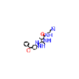 Cc1[nH]c(C(=O)NCCCN(C)C)c(C)c1-c1nc2cc(C(=O)c3ccccc3)ccc2[nH]1